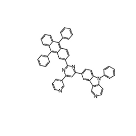 c1ccc(-c2c3ccccc3c(-c3ccccc3)c3cc(-c4nc(-c5cccnc5)cc(-c5ccc6c(c5)c5cnccc5n6-c5ccccc5)n4)ccc23)cc1